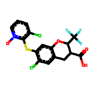 O=C(O)C1Cc2cc(Cl)c(Sc3c(Cl)ccc[n+]3[O-])cc2OC1C(F)(F)F